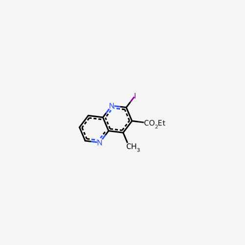 CCOC(=O)c1c(I)nc2cccnc2c1C